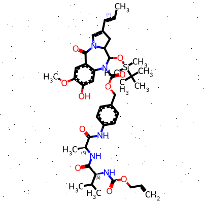 C=CCOC(=O)N[C@H](C(=O)N[C@@H](C)C(=O)Nc1ccc(COC(=O)N2c3cc(O)c(OC)cc3C(=O)N3C=C(/C=C/C)CC3C2O[Si](C)(C)C(C)(C)C)cc1)C(C)C